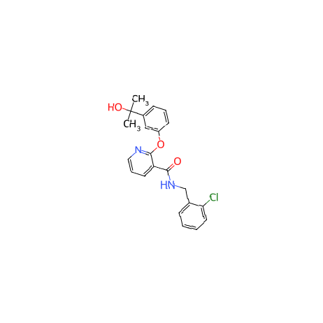 CC(C)(O)c1cccc(Oc2ncccc2C(=O)NCc2ccccc2Cl)c1